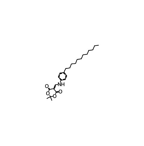 CCCCCCCCCCCCc1ccc(NC=C2C(=O)OC(C)(C)OC2=O)cc1